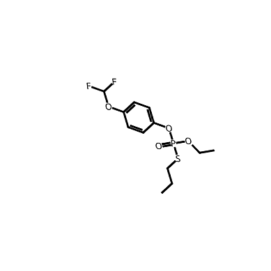 CCCSP(=O)(OCC)Oc1ccc(OC(F)F)cc1